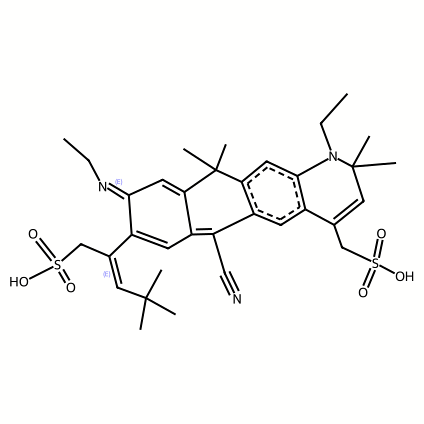 CC/N=C1\C=C2C(=C(C#N)c3cc4c(cc3C2(C)C)N(CC)C(C)(C)C=C4CS(=O)(=O)O)C=C1/C(=C\C(C)(C)C)CS(=O)(=O)O